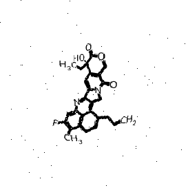 C=CCC1CCc2c(C)c(F)cc3nc4c(c1c23)Cn1c-4cc2c(c1=O)COC(=O)[C@]2(O)CC